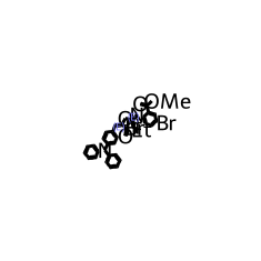 CCN1C(=O)/C(=C\c2ccc(N(c3ccccc3)c3ccccc3)cc2)O/C1=N/c1c(Br)cc(Br)cc1C(=O)OC